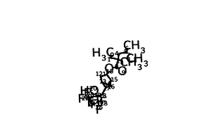 CCC(C)(CC(C)C)C(=O)OC1CC2CC1CC2CC(O)(C(F)(F)F)C(F)(F)F